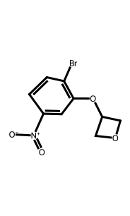 O=[N+]([O-])c1ccc(Br)c(OC2COC2)c1